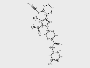 CC#CCN1CCCC[C@H]1c1nc(-c2ccc(C(=O)Nc3cc(Cl)ccn3)cc2)c(C(N)=O)n1N